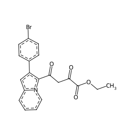 CCOC(=O)C(=O)CC(=O)c1c(-c2ccc(Br)cc2)cc2ccccn12